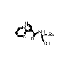 CC(C)(C)C(CO)NC(=O)c1cnn2cccnc12